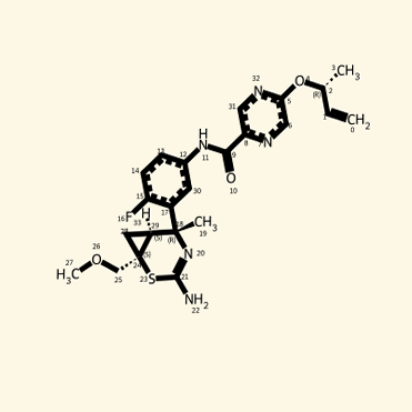 C=C[C@@H](C)Oc1cnc(C(=O)Nc2ccc(F)c([C@]3(C)N=C(N)S[C@@]4(COC)C[C@H]43)c2)cn1